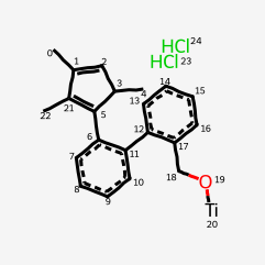 CC1=CC(C)C(c2ccccc2-c2ccccc2C[O][Ti])=C1C.Cl.Cl